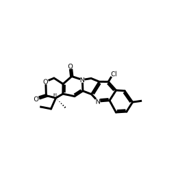 CC[C@@]1(C)C(=O)OCc2c1cc1n(c2=O)Cc2c-1nc1ccc(C)cc1c2Cl